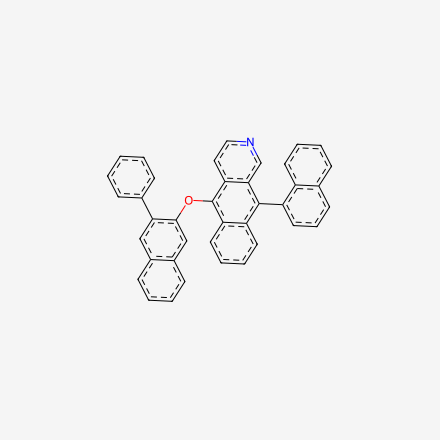 c1ccc(-c2cc3ccccc3cc2Oc2c3ccccc3c(-c3cccc4ccccc34)c3cnccc23)cc1